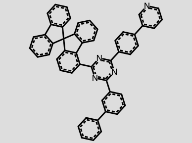 c1ccc(-c2cccc(-c3nc(-c4ccc(-c5cccnc5)cc4)nc(-c4cccc5c4-c4ccccc4C54c5ccccc5-c5ccccc54)n3)c2)cc1